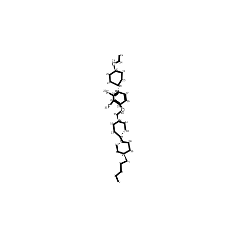 CCCCC[C@H]1CC[C@H]([C@H]2CC[C@H](COc3ccc([C@H]4CC[C@H](OCC)CC4)c(F)c3F)CC2)CC1